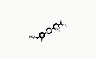 C=C(C)C(/C=C\C(=C)N1CCN(c2ccc(CC(=O)O)c(F)c2)CC1)CC